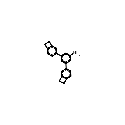 Nc1cc(-c2ccc3c(c2)CC3)cc(-c2ccc3c(c2)CC3)c1